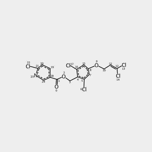 O=C(OCc1c(Cl)cc(OCC=C(Cl)Cl)cc1Cl)c1ccc(Cl)nc1